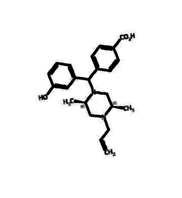 C=CCN1C[C@@H](C)N(C(c2ccc(C(=O)O)cc2)c2cccc(O)c2)C[C@H]1C